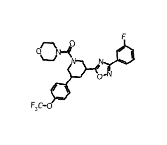 O=C(N1CCOCC1)N1CC(c2ccc(OC(F)(F)F)cc2)CC(c2nc(-c3cccc(F)c3)no2)C1